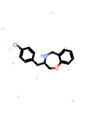 Clc1ccc(CC2COc3ccccc3CN2)cc1